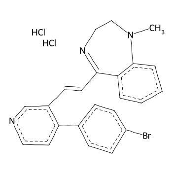 CN1CCN=C(C=Cc2cnccc2-c2ccc(Br)cc2)c2ccccc21.Cl.Cl